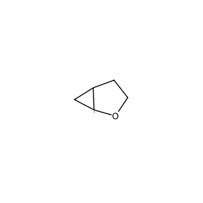 C1CC2C[C]2O1